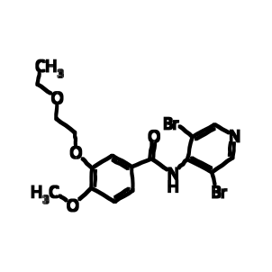 CCOCCOc1cc(C(=O)Nc2c(Br)cncc2Br)ccc1OC